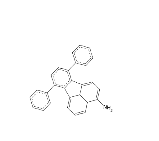 NC1=CC=C2c3c(-c4ccccc4)ccc(-c4ccccc4)c3C3=CC=CC1C32